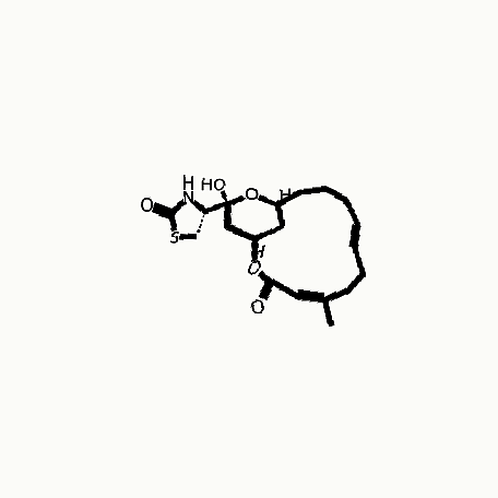 C/C1=C/C(=O)O[C@@H]2C[C@@H](CCC/C=C/CC1)O[C@@](O)([C@@H]1CSC(=O)N1)C2